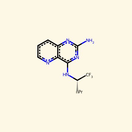 CCC[C@H](Nc1nc(N)nc2cccnc12)C(F)(F)F